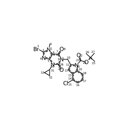 Cn1c(Br)nc2c1c(=O)n(Cc1cc3c(Cl)cccc3n1C(=O)OC(C)(C)C)c(=O)n2C1CC1